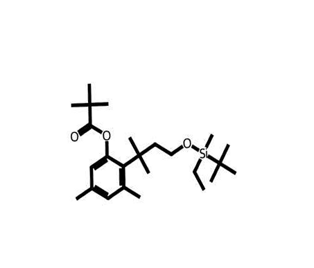 CC[Si](C)(OCCC(C)(C)c1c(C)cc(C)cc1OC(=O)C(C)(C)C)C(C)(C)C